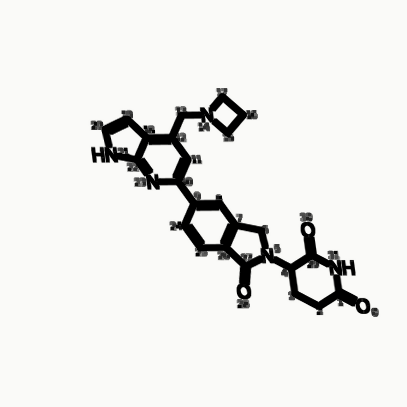 O=C1CCC(N2Cc3cc(-c4cc(CN5CCC5)c5cc[nH]c5n4)ccc3C2=O)C(=O)N1